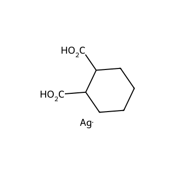 O=C(O)C1CCCCC1C(=O)O.[Ag]